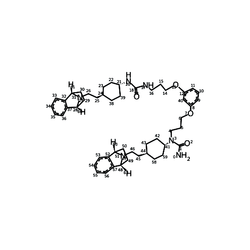 NC(=O)N(CCCOc1cccc(OCCCNC(=O)N[C@H]2CC[C@H](CCN3[C@@H]4CC[C@H]3c3ccccc34)CC2)c1)[C@H]1CC[C@H](CCN2[C@@H]3CC[C@H]2c2ccccc23)CC1